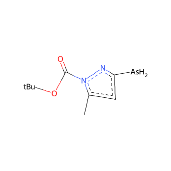 Cc1cc([AsH2])nn1C(=O)OC(C)(C)C